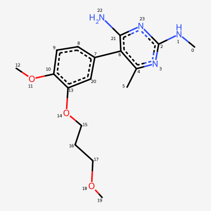 CNc1nc(C)c(-c2ccc(OC)c(OCCCOC)c2)c(N)n1